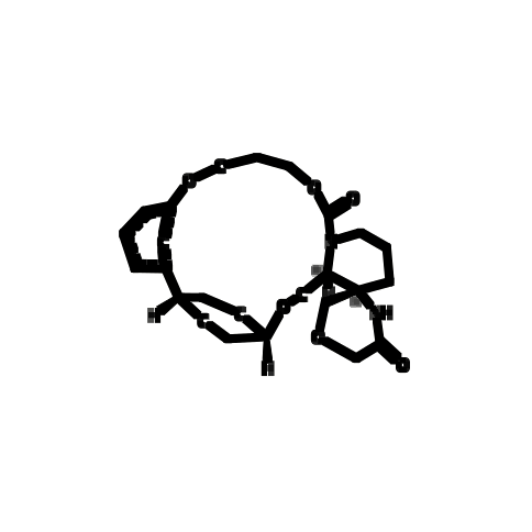 O=C1COC[C@@]2(CCCN3C(=O)OCCCOc4cccc(c4)[C@H]4CC[C@H](CC4)OC[C@H]32)N1